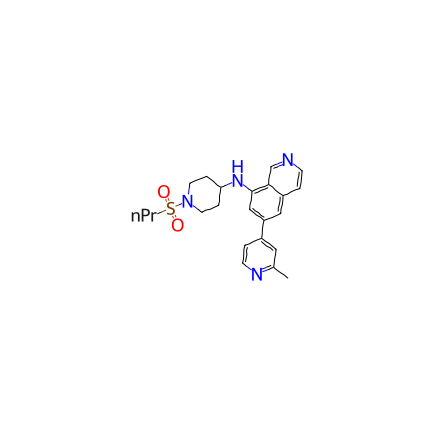 CCCS(=O)(=O)N1CCC(Nc2cc(-c3ccnc(C)c3)cc3ccncc23)CC1